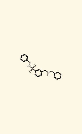 O=S(=O)(NCc1ccccc1)c1cccc(CNCc2ccccc2)c1